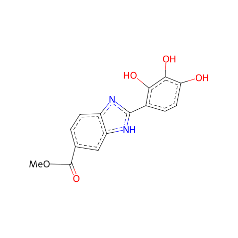 COC(=O)c1ccc2nc(-c3ccc(O)c(O)c3O)[nH]c2c1